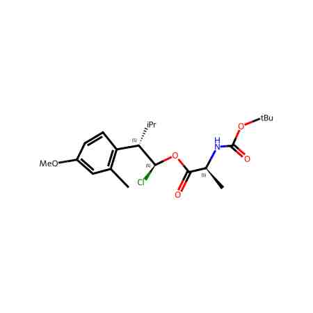 COc1ccc([C@H](C(C)C)[C@H](Cl)OC(=O)[C@H](C)NC(=O)OC(C)(C)C)c(C)c1